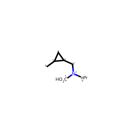 CCCN(CC1CC1C)C(=O)O